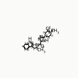 CC(Cc1c[nH]c2ccccc12)NC(=O)c1nnc(N2CCN(C)C(C(F)(F)F)C2)[nH]1